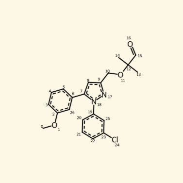 COc1cccc(-c2cc(COC(C)(C)C=O)nn2-c2cccc(Cl)c2)c1